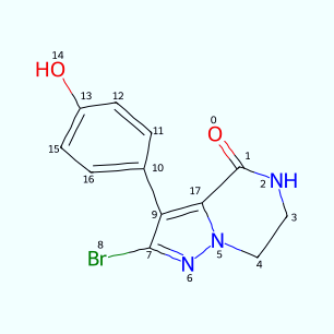 O=C1NCCn2nc(Br)c(-c3ccc(O)cc3)c21